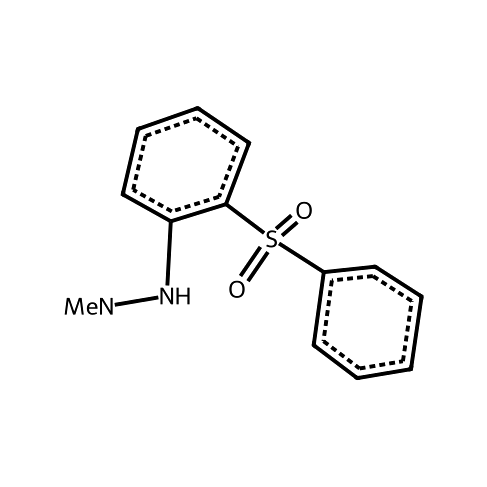 CNNc1ccccc1S(=O)(=O)c1ccccc1